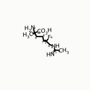 CC(=N)NC/C(F)=C/CCC(C)(N)C(=O)O